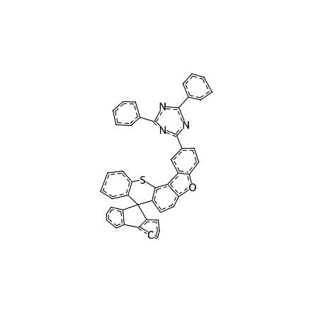 c1ccc(-c2nc(-c3ccccc3)nc(-c3ccc4oc5ccc6c(c5c4c3)Sc3ccccc3C63c4ccccc4-c4ccccc43)n2)cc1